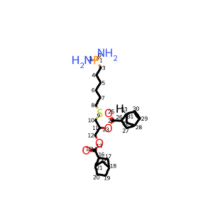 NP(N)CCCCCCSCC(COC(=O)C1CC2CCC1C2)OC(=O)C1CC2C=C[C@H]1C2